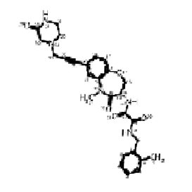 Cc1ccccc1CNC(=O)C(=O)N[C@H]1COc2ccc(C#CCN3CCNC(=O)C3)cc2N(C)C1=O